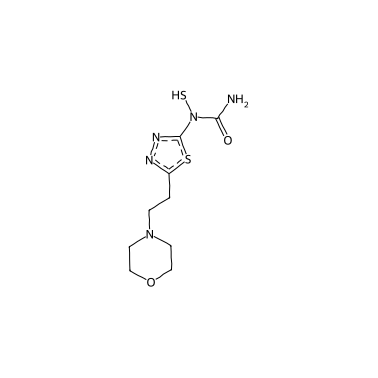 NC(=O)N(S)c1nnc(CCN2CCOCC2)s1